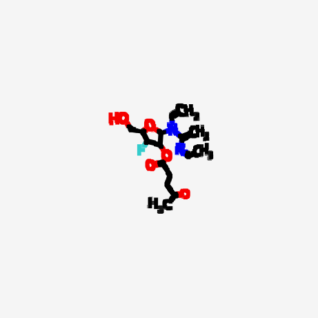 C=CN(C(=C)/N=C\C)[C@@H]1O[C@H](CO)C(F)C1OC(=O)CCC(C)=O